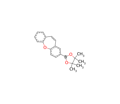 CC1(C)OB(c2ccc3c(c2)C=Cc2ccccc2O3)OC1(C)C